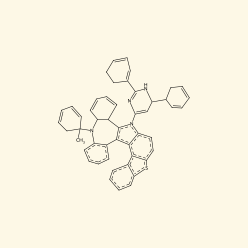 CC1(N2c3ccccc3-c3c(n(C4=CC(C5C=CC=CC5)NC(C5=CC=CCC5)=N4)c4ccc5sc6ccccc6c5c34)C3C=CC=CC32)C=CC=CC1